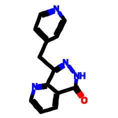 O=c1[nH]nc(Cc2ccncc2)c2ncccc12